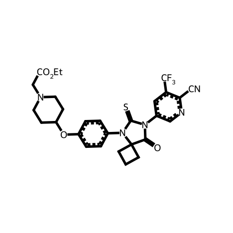 CCOC(=O)CN1CCC(Oc2ccc(N3C(=S)N(c4cnc(C#N)c(C(F)(F)F)c4)C(=O)C34CCC4)cc2)CC1